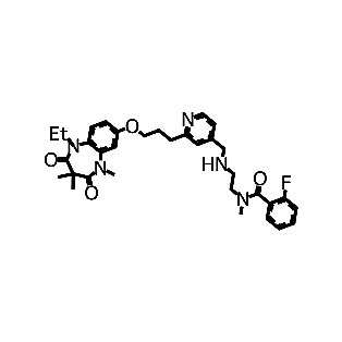 CCN1C(=O)C(C)(C)C(=O)N(C)c2cc(OCCCc3cc(CNCCN(C)C(=O)c4ccccc4F)ccn3)ccc21